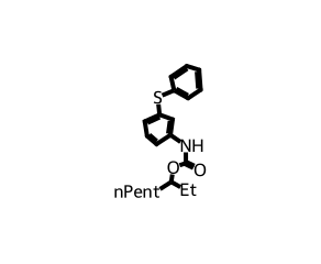 CCCCCC(CC)OC(=O)Nc1cccc(Sc2ccccc2)c1